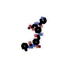 COC(=O)CC(NC(=O)c1cccnc1)c1ccc(NC(=O)Cc2ccc(NC(=O)Nc3ccccc3C)c(OC)c2)cc1